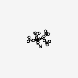 N#Cc1ccc(-n2c3ccc(-n4c5ccccc5c5ccccc54)cc3c3cc(-n4c5ccccc5c5ccccc54)ccc32)c(-c2cc(-n3c4ccc(-n5c6ccccc6c6ccccc65)cc4c4cc(-n5c6ccccc6c6ccccc65)ccc43)ccn2)c1